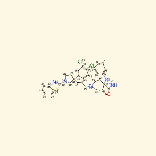 O=C1NCN(c2ccccc2)C12CCN(CCCC1(c3ccc(Cl)c(Cl)c3)CCN(c3nc4ccccc4s3)C1)CC2